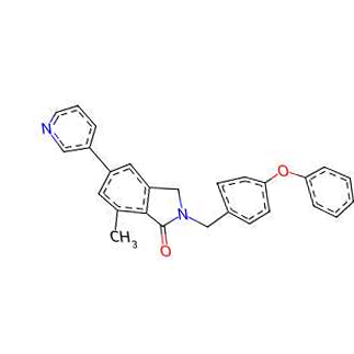 Cc1cc(-c2cccnc2)cc2c1C(=O)N(Cc1ccc(Oc3ccccc3)cc1)C2